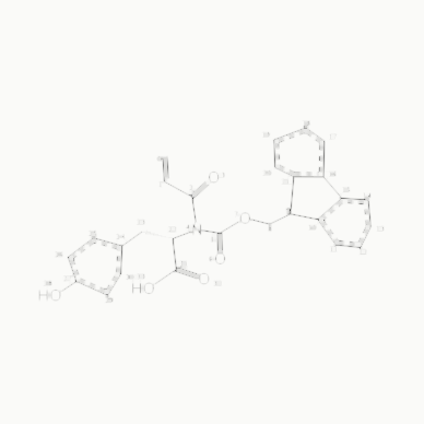 C=CC(=O)N(C(=O)OCC1c2ccccc2-c2ccccc21)[C@@H](Cc1ccc(O)cc1)C(=O)O